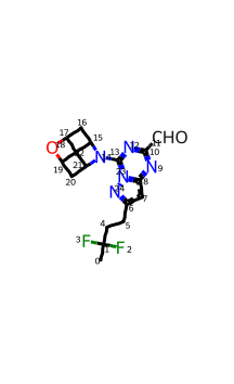 CC(F)(F)CCc1cc2nc(C=O)nc(N3C4CC5OC6CC3C564)n2n1